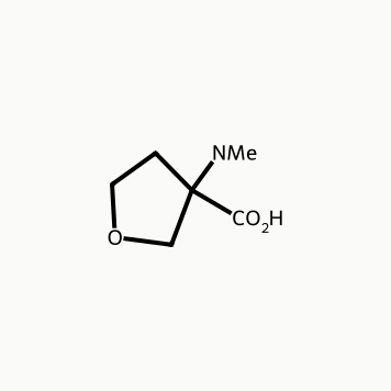 CNC1(C(=O)O)CCOC1